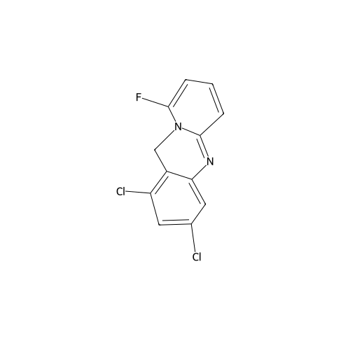 FC1=CC=CC2=Nc3cc(Cl)cc(Cl)c3CN12